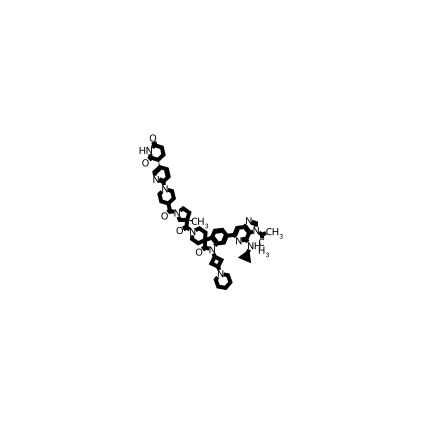 CC(C)n1cnc2cc(-c3ccc4c(c3)N(C3CC(N5CCCCC5)C3)C(=O)C43CCN(C(=O)[C@]4(C)CCN(C(=O)C5CCN(c6ccc([C@H]7CCC(=O)NC7=O)cn6)CC5)C4)CC3)nc(NC3CC3)c21